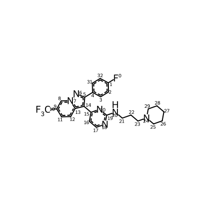 Fc1ccc(-c2nn3cc(C(F)(F)F)ccc3c2-c2ccnc(NCCCN3CCCCC3)n2)cc1